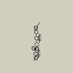 CCCCOc1ccc(-c2ccc(C3CCC(OC(=O)c4ccc(OCC)c(F)c4F)CC3)c(F)c2F)cc1